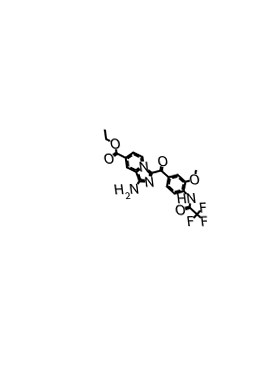 CCOC(=O)c1ccn2c(C(=O)c3ccc(NC(=O)C(F)(F)F)c(OC)c3)nc(N)c2c1